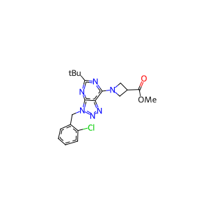 COC(=O)C1CN(c2nc(C(C)(C)C)nc3c2nnn3Cc2ccccc2Cl)C1